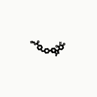 Cn1nc(C2CCC(=O)NC2=O)c2ccc(N3CCC(CN4CCN(C(=O)OC(C)(C)C)CC4)CC3)cc21